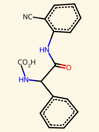 N#Cc1ccccc1NC(=O)C(NC(=O)O)c1ccccc1